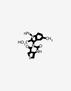 CCCn1c(C(=O)O)c(-n2c(=O)[nH]c3cscc3c2=O)c2cc(C)ccc21